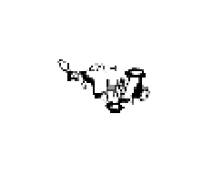 O=C(O)C1/C(=C/COc2ccccc2-c2nc(=O)c3ccccc3[nH]2)OC2CC(=O)N21